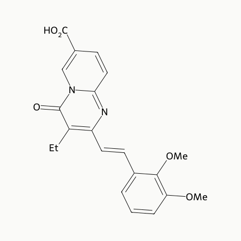 CCc1c(/C=C/c2cccc(OC)c2OC)nc2ccc(C(=O)O)cn2c1=O